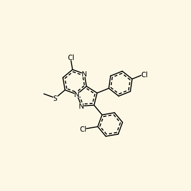 CSc1cc(Cl)nc2c(-c3ccc(Cl)cc3)c(-c3ccccc3Cl)nn12